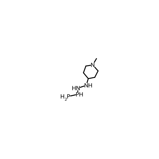 CN1CCC(NNPP)CC1